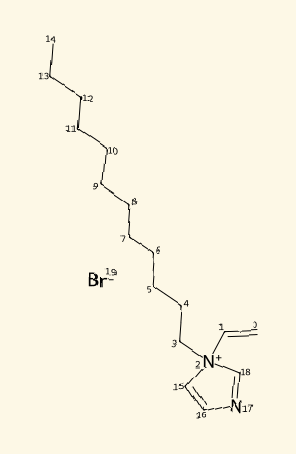 C=C[N+]1(CCCCCCCCCCCC)C=CN=C1.[Br-]